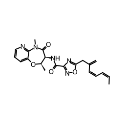 C=C(/C=C\C=C/C)Cc1nc(C(=O)N[C@@H]2C(=O)N(C)c3ncccc3O[C@@H]2C)no1